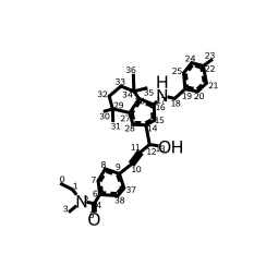 CCN(C)C(=O)c1ccc(C#CC(O)c2cc(NCc3ccc(C)cc3)c3c(c2)C(C)(C)CCC3(C)C)cc1